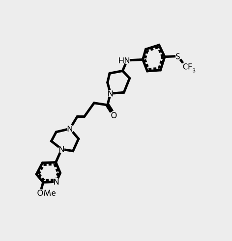 COc1ccc(N2CCN(CCCC(=O)N3CCC(Nc4ccc(SC(F)(F)F)cc4)CC3)CC2)cn1